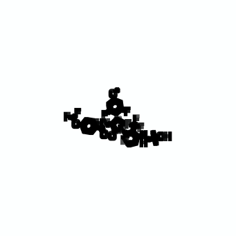 COc1cc(F)c([C@@H]2CN(c3nccc(NCC(C)(C)O)c3C(F)(F)F)C(=O)C2NC(=O)c2ccc(OC(F)F)cc2)c(F)c1